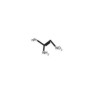 CCC/C(N)=C/[N+](=O)[O-]